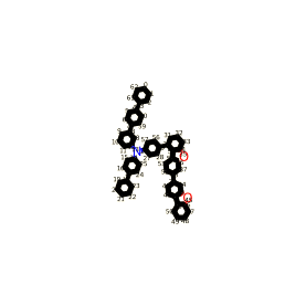 c1ccc(-c2ccc(-c3cccc(N(c4ccc(-c5ccccc5)cc4)c4ccc(-c5cccc6oc7cc(-c8ccc9c(c8)oc8ccccc89)ccc7c56)cc4)c3)cc2)cc1